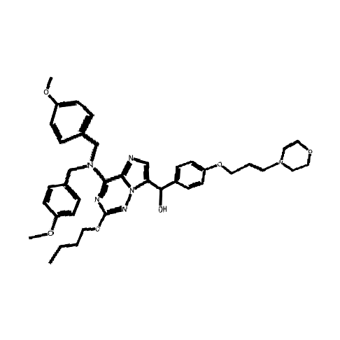 CCCCOc1nc(N(Cc2ccc(OC)cc2)Cc2ccc(OC)cc2)c2ncc(C(O)c3ccc(OCCCN4CCOCC4)cc3)n2n1